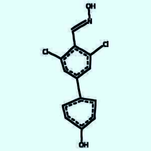 O/N=C/c1c(Cl)cc(-c2ccc(O)cc2)cc1Cl